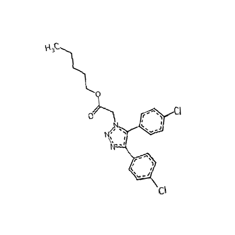 CCCCCOC(=O)Cn1nnc(-c2ccc(Cl)cc2)c1-c1ccc(Cl)cc1